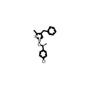 Cc1nn(O[C@@H](C)c2ccc(Cl)cc2)cc1Cc1ccccc1